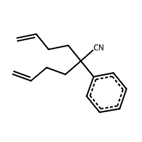 C=CCCC(C#N)(CCC=C)c1ccccc1